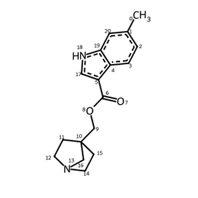 Cc1ccc2c(C(=O)OCC34CCN(CC3)C4)c[nH]c2c1